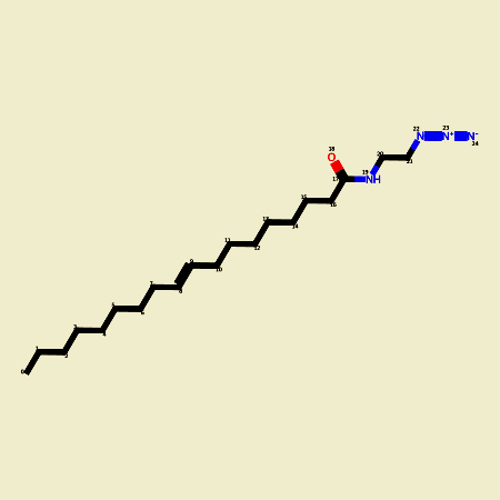 CCCCCCCCC=CCCCCCCCC(=O)NCCN=[N+]=[N-]